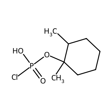 CC1CCCCC1(C)OP(=O)(O)Cl